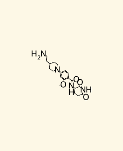 COc1cc(N2CCC(CCN)CC2)ccc1C(=O)NC1CCC(=O)NC1=O